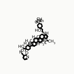 C=C(C)[C@@H]1CC[C@]2(NCCC3(O)CCC(S(C)(=O)=O)CC3)CC[C@]3(C)[C@H](CC[C@@H]4[C@@]5(C)CC=C(C6=CC[C@@](COc7ncccc7C#N)(C(=O)O)CC6)C(C)(C)C5CC[C@]43C)[C@@H]12